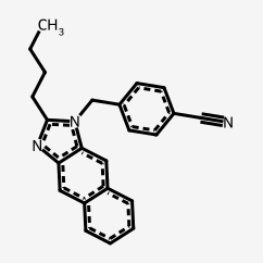 CCCCc1nc2cc3ccccc3cc2n1Cc1ccc(C#N)cc1